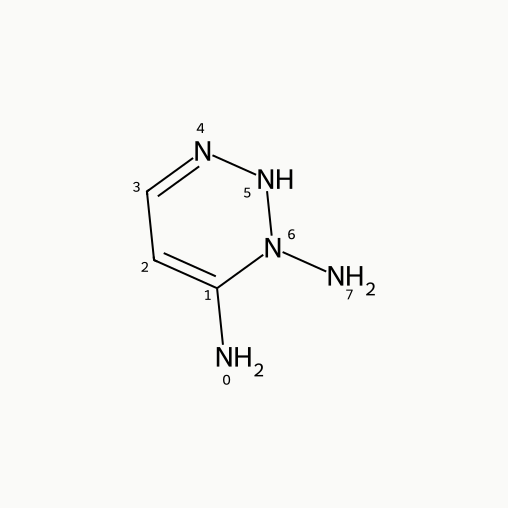 NC1=CC=NNN1N